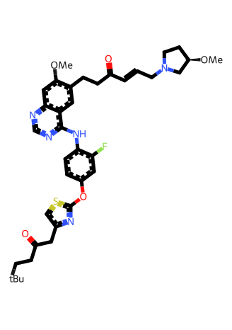 COc1cc2ncnc(Nc3ccc(Oc4nc(CC(=O)CCC(C)(C)C)cs4)cc3F)c2cc1CCC(=O)/C=C/CN1CC[C@@H](OC)C1